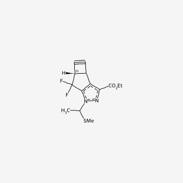 CCOC(=O)c1nn(C(C)SC)c2c1C1C#C[C@H]1C2(F)F